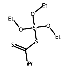 CCO[Si](OCC)(OCC)SC(=S)C(C)C